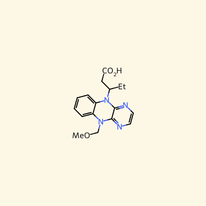 CCC(CC(=O)O)N1c2ccccc2N(COC)c2nccnc21